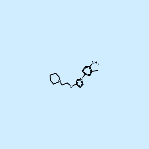 Cc1cc(-n2ccc(OCCN3CCCCC3)c2)ccc1N